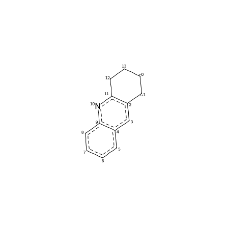 [C]1[C]c2cc3ccccc3nc2CC1